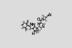 CC1(C)[C@H]2CC[C@]1(c1cncc(C(=O)N3CC(C#N)C3)n1)c1nnc(-c3c(F)cccc3F)cc12